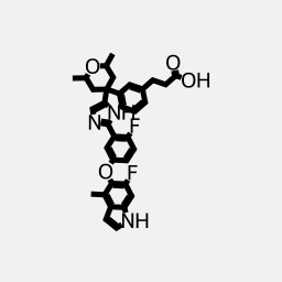 Cc1c(Oc2ccc(F)c(-c3ncc(C4(c5cccc(CCC(=O)O)c5)CC(C)OC(C)C4)[nH]3)c2)c(F)cc2[nH]ccc12